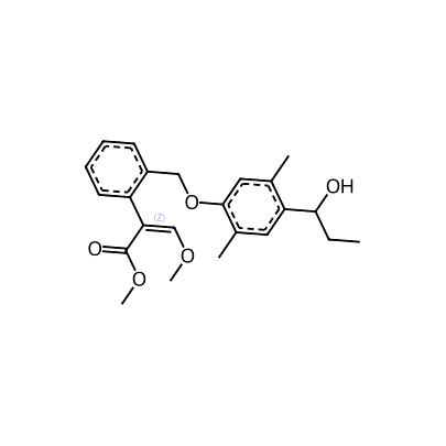 CCC(O)c1cc(C)c(OCc2ccccc2/C(=C/OC)C(=O)OC)cc1C